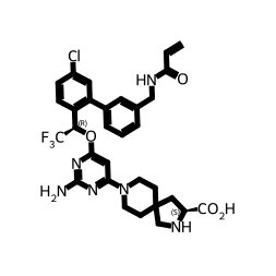 C=CC(=O)NCc1cccc(-c2cc(Cl)ccc2[C@@H](Oc2cc(N3CCC4(CC3)CN[C@H](C(=O)O)C4)nc(N)n2)C(F)(F)F)c1